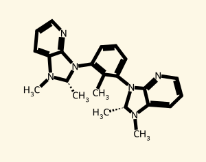 Cc1c(N2c3ncccc3N(C)[C@H]2C)cccc1N1c2ncccc2N(C)[C@@H]1C